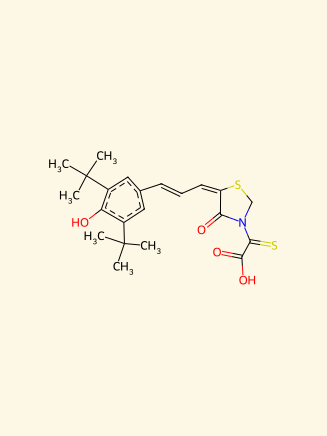 CC(C)(C)c1cc(C=CC=C2SCN(C(=S)C(=O)O)C2=O)cc(C(C)(C)C)c1O